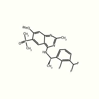 COc1cc2nc(C)nc(N[C@H](C)c3cccc(C(F)F)c3F)c2cc1P(C)(C)=O